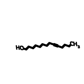 CCCCC#CCCCCCCCCO